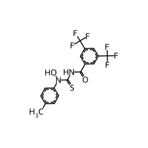 Cc1ccc(N(O)C(=S)NC(=O)c2cc(C(F)(F)F)cc(C(F)(F)F)c2)cc1